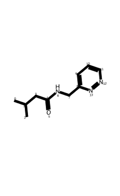 CC(C)CC(=O)NCc1cccnn1